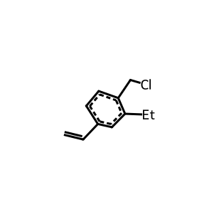 C=Cc1ccc(CCl)c(CC)c1